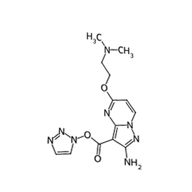 CN(C)CCOc1ccn2nc(N)c(C(=O)On3ccnn3)c2n1